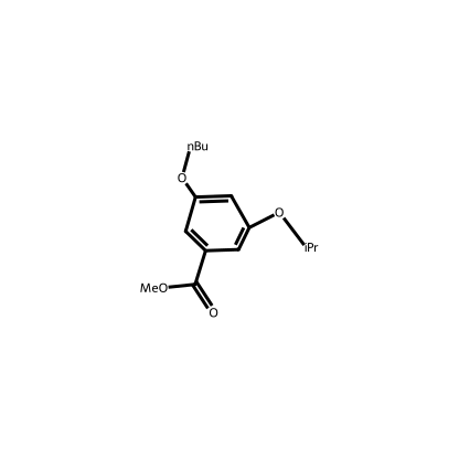 CCCCOc1cc(OC(C)C)cc(C(=O)OC)c1